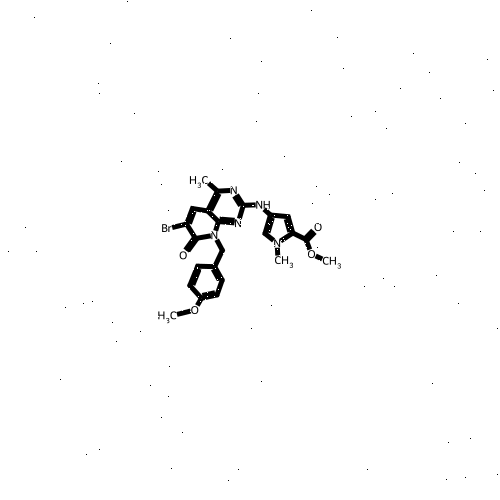 COC(=O)c1cc(Nc2nc(C)c3cc(Br)c(=O)n(Cc4ccc(OC)cc4)c3n2)cn1C